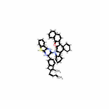 C=C/C=C\C1=C(C)c2ccc(-c3nc4sc5ccccc5c4nc3-n3c4ccccc4c4c5c(c6c7ccc8ccccc8c7oc6c43)C=CCC5)cc2C1